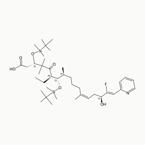 CC[C@@H](C(=O)C(C)(C)[C@H](CC(=O)O)O[Si](C)(C)C(C)(C)C)[C@@H](O[Si](C)(C)C(C)(C)C)[C@@H](C)CCCC(C)=CC[C@H](O)C(F)=Cc1ccccn1